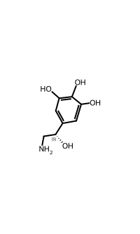 NC[C@@H](O)c1cc(O)c(O)c(O)c1